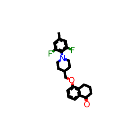 Cc1cc(F)c(N2CCC(COc3cccc4c3CCCC4=O)CC2)c(F)c1